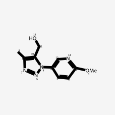 COc1ccc(-n2nnc(C)c2CO)cn1